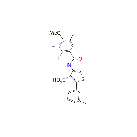 COc1c(I)cc(C(=O)Nc2csc(-c3cccc(I)c3)c2C(=O)O)c(I)c1I